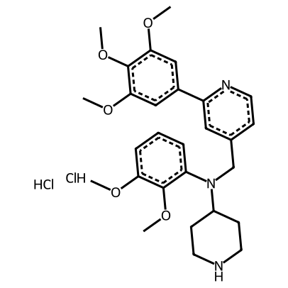 COc1cc(-c2cc(CN(c3cccc(OC)c3OC)C3CCNCC3)ccn2)cc(OC)c1OC.Cl.Cl